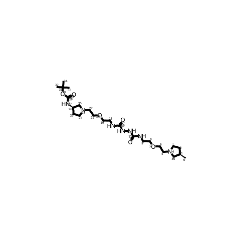 C[C@@H]1CCN(CCOCCNC(=O)NNC(=O)NCCOCCN2CC[C@@H](NC(=O)OC(C)(C)C)C2)C1